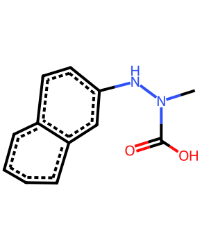 CN(Nc1ccc2ccccc2c1)C(=O)O